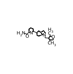 Cc1coc(C)c1Cn1ccc2cc(-c3cccc(C(N)=O)n3)ccc21